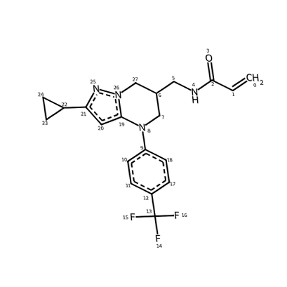 C=CC(=O)NCC1CN(c2ccc(C(F)(F)F)cc2)c2cc(C3CC3)nn2C1